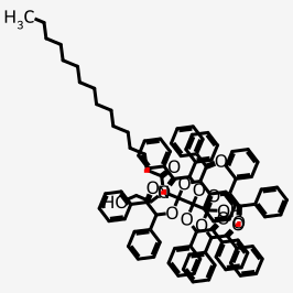 CCCCCCCCCCCCCCCC(=O)N(CCO)C(OC(C(=O)c1ccccc1)c1ccccc1)(OC(C(=O)c1ccccc1)c1ccccc1)C(OC(C(=O)c1ccccc1)c1ccccc1)(OC(C(=O)c1ccccc1)c1ccccc1)C(O)(OC(C(=O)c1ccccc1)c1ccccc1)OC(C(=O)c1ccccc1)c1ccccc1